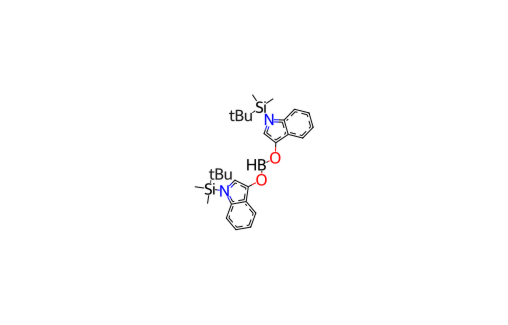 CC(C)(C)[Si](C)(C)n1cc(OBOc2cn([Si](C)(C)C(C)(C)C)c3ccccc23)c2ccccc21